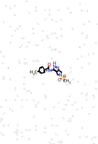 Cc1ccc(C(=O)Nc2[nH]nc3c2CN(S(C)(=O)=O)C3)cc1